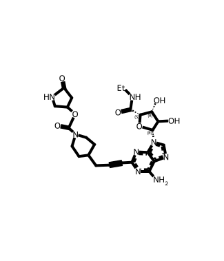 CCNC(=O)[C@H]1O[C@@H](n2cnc3c(N)nc(C#CCC4CCN(C(=O)OC5CNC(=O)C5)CC4)nc32)C(O)[C@H]1O